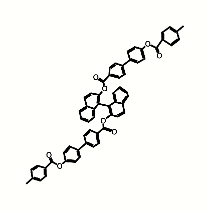 Cc1ccc(C(=O)Oc2ccc(-c3ccc(C(=O)Oc4ccc5ccccc5c4-c4c(OC(=O)c5ccc(-c6ccc(OC(=O)c7ccc(C)cc7)cc6)cc5)ccc5ccccc45)cc3)cc2)cc1